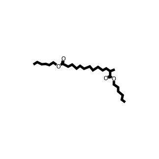 CCCCCCOC(=O)CCCCCCCCCCC(C)C(=O)OCCCCCC